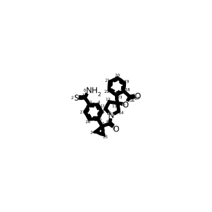 NC(=S)c1ccc(C2(C(=O)N3CCC4(C3)OC(=O)c3ccccc34)CC2)cc1